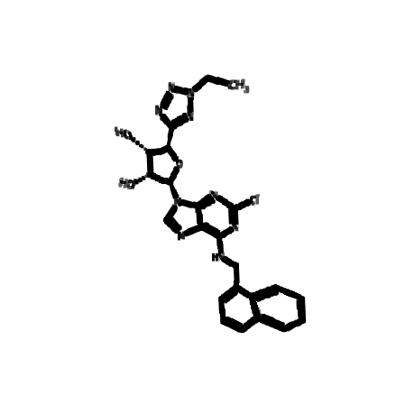 CCn1nnc([C@H]2O[C@@H](n3cnc4c(NCc5cccc6ccccc56)nc(Cl)nc43)[C@H](O)[C@@H]2O)n1